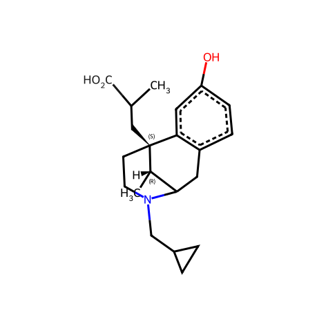 CC(C[C@@]12CCN(CC3CC3)C(Cc3ccc(O)cc31)[C@@H]2C)C(=O)O